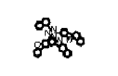 c1ccc2cc3c(cc2c1)c1ccccc1n3-c1c(-c2nc(-c3ccc4c(c3)oc3ccccc34)nc(-c3cccc4ccccc34)n2)ccc2c1oc1c3ccccc3ccc21